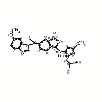 COc1ccc2c(c1)[C@@]1(C=N2)C[C@H]1c1ccc2c(Nc3cc(C)nn3CC(F)F)n[nH]c2c1